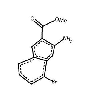 COC(=O)c1cc2cccc(Br)c2cc1N